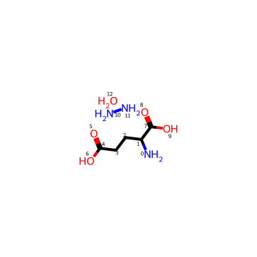 NC(CCC(=O)O)C(=O)O.NN.O